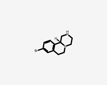 Brc1ccc2c(c1)CCN1CCNC[C@@H]21